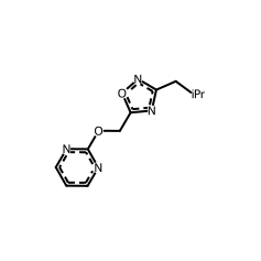 CC(C)Cc1noc(COc2ncccn2)n1